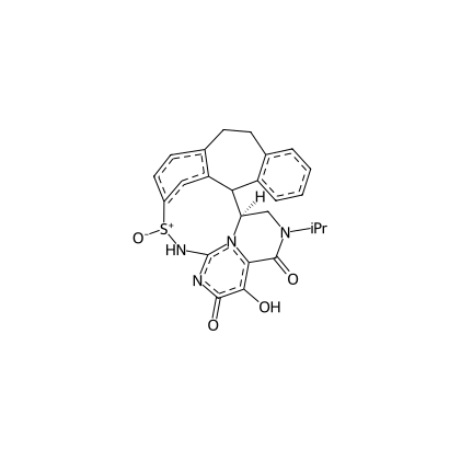 CC(C)N1C[C@@H]2C3c4ccccc4CCc4ccc(cc43)[S+]([O-])Nc3nc(=O)c(O)c(n32)C1=O